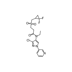 CCN(C(=O)CCS(=O)(=O)CC1CC1(F)F)c1cn(-c2cccnc2)nc1Cl